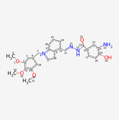 COc1cc(Cn2ccc3c(/C=N/NC(=O)c4ccc(O)c(N)c4)cccc32)cc(OC)c1OC